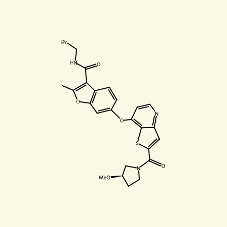 CO[C@@H]1CCN(C(=O)c2cc3nccc(Oc4ccc5c(C(=O)NCC(C)C)c(C)oc5c4)c3s2)C1